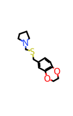 c1cc2c(cc1CSCN1CCCC1)OCCO2